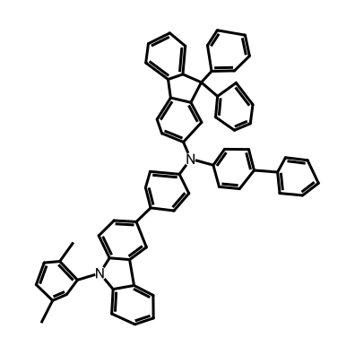 Cc1ccc(C)c(-n2c3ccccc3c3cc(-c4ccc(N(c5ccc(-c6ccccc6)cc5)c5ccc6c(c5)C(c5ccccc5)(c5ccccc5)c5ccccc5-6)cc4)ccc32)c1